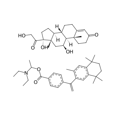 C=C(c1ccc(C(=O)OC(C)N(CC)CC)cc1)c1cc2c(cc1C)C(C)(C)CCC2(C)C.C[C@]12CCC(=O)C=C1CC[C@@H]1[C@@H]2[C@@H](O)C[C@@]2(C)[C@H]1CC[C@]2(O)C(=O)CO